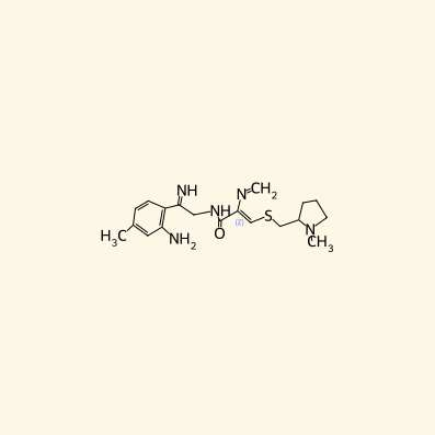 C=N/C(=C\SCC1CCCN1C)C(=O)NCC(=N)c1ccc(C)cc1N